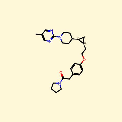 Cc1cnc(N2CCC([C@H]3C[C@H]3CCOc3ccc(CC(=O)N4CCCC4)cc3)CC2)nc1